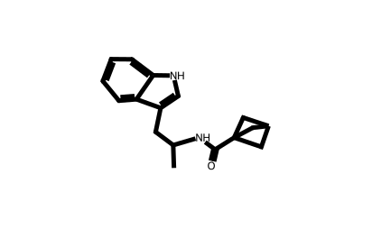 CC(Cc1c[nH]c2ccccc12)NC(=O)C12CC(C1)C2